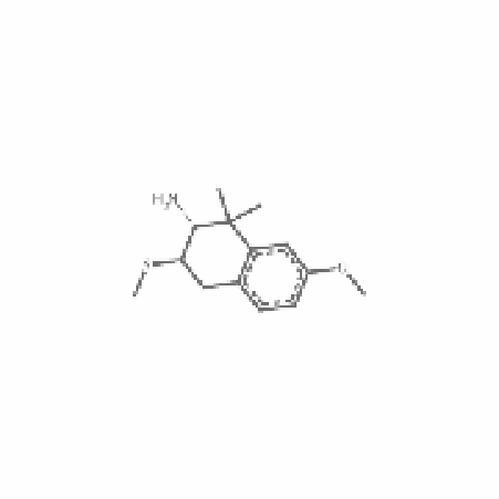 COc1ccc2c(c1)C(C)(C)[C@@H](N)[C@H](SC)C2